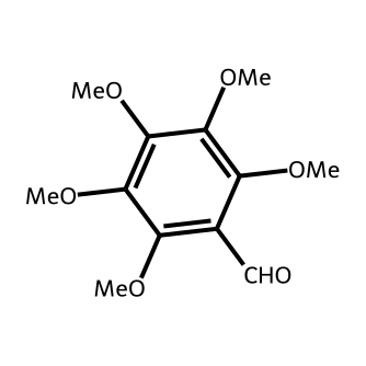 COc1c(C=O)c(OC)c(OC)c(OC)c1OC